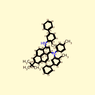 Cc1ccc(N(c2cc(-c3ccccc3)ccc2C)c2cc(Nc3cc(-c4ccccc4)ccc3C)c3ccc4cc(C(C)(C)C)cc5ccc2c3c45)cc1